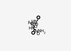 NC(=O)n1cc(NC(=O)N2C[C@H](F)C[C@H]2C(=O)NCc2ccccc2)c2ccccc21